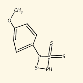 COc1ccc(P2SPS2(=S)=S)cc1